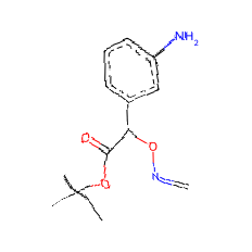 C=NOC(C(=O)OC(C)(C)C)c1cccc(N)c1